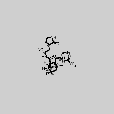 CC(C)C[C@H](NC(=O)C(F)(F)F)C(=O)N1[C@@H]2CC[C@H]([C@@H]1C(=O)N[C@H](C#N)C[C@@H]1CCNC1=O)C(F)(F)C2